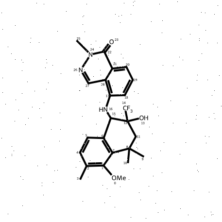 COc1c(C)ccc2c1C(C)(C)CC(O)(C(F)(F)F)C2Nc1cccc2c(=O)n(C)ncc12